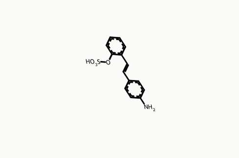 Nc1ccc(C=Cc2ccccc2OS(=O)(=O)O)cc1